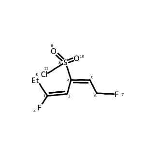 CC/C(F)=C\C(=C/CF)S(=O)(=O)Cl